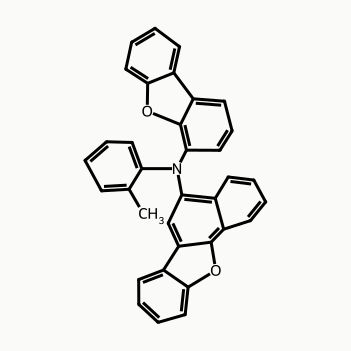 Cc1ccccc1N(c1cc2c3ccccc3oc2c2ccccc12)c1cccc2c1oc1ccccc12